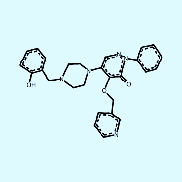 O=c1c(OCc2cccnc2)c(N2CCN(Cc3ccccc3O)CC2)cnn1-c1ccccc1